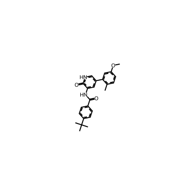 COc1ccc(C)c(-c2c[nH]c(=O)c(NC(=O)c3ccc(C(C)(C)C)cc3)c2)c1